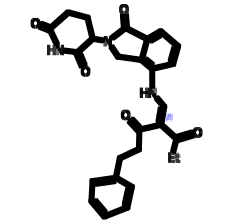 CCC(=O)/C(=C/Nc1cccc2c1CN(C1CCC(=O)NC1=O)C2=O)C(=O)CCc1ccccc1